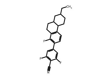 CCC1CCC2c3ccc(-c4cc(F)c(C#N)c(F)c4)c(F)c3CCC2C1